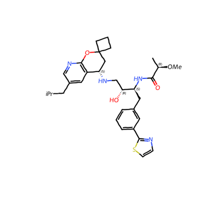 CO[C@H](C)C(=O)N[C@@H](Cc1cccc(-c2nccs2)c1)[C@H](O)CN[C@H]1CC2(CCC2)Oc2ncc(CC(C)C)cc21